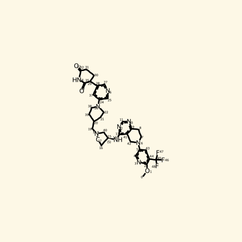 COc1ncc(N2CCc3ncnc(N[C@H]4CCN(CC5CCN(c6cncc(C7CCC(=O)NC7=O)c6)CC5)C4)c3C2)cc1C(F)(F)F